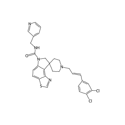 O=C(NCc1cccnc1)N1CC2(CCN(CC=Cc3ccc(Cl)c(Cl)c3)CC2)c2c1ccc1scnc21